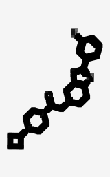 O=C(CN1CCc2nc(-c3cccc(F)c3)sc2C1)N1CCN(C2CCC2)CC1